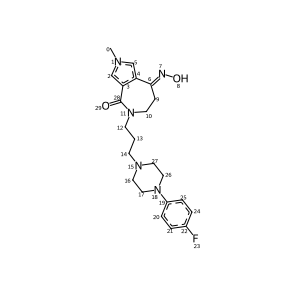 Cn1cc2c(c1)C(=NO)CCN(CCCN1CCN(c3ccc(F)cc3)CC1)C2=O